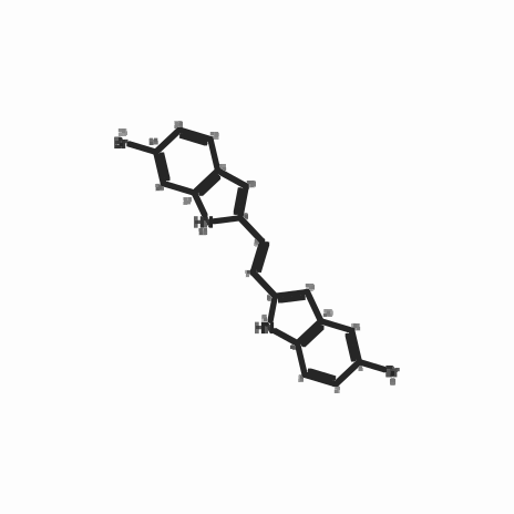 Brc1ccc2[nH]c(C=Cc3cc4ccc(Br)cc4[nH]3)cc2c1